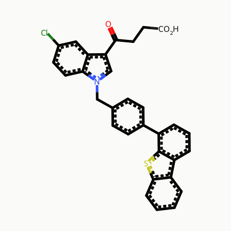 O=C(O)CCC(=O)c1cn(Cc2ccc(-c3cccc4c3sc3ccccc34)cc2)c2ccc(Cl)cc12